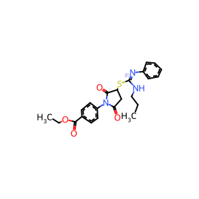 CCCN/C(=N\c1ccccc1)SC1CC(=O)N(c2ccc(C(=O)OCC)cc2)C1=O